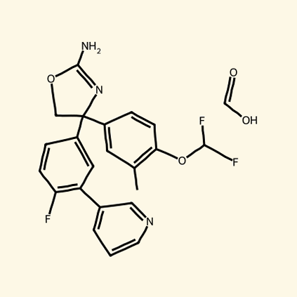 Cc1cc(C2(c3ccc(F)c(-c4cccnc4)c3)COC(N)=N2)ccc1OC(F)F.O=CO